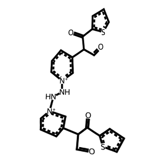 O=CC(C(=O)c1cccs1)c1ccc[n+](NN[n+]2cccc(C(C=O)C(=O)c3cccs3)c2)c1